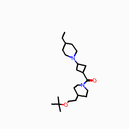 CCC1CCN(C2CC(C(=O)N3CCC(CCOC(C)(C)C)CC3)C2)CC1